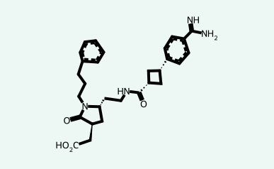 N=C(N)c1ccc([C@H]2C[C@@H](C(=O)NCC[C@@H]3C[C@@H](CC(=O)O)C(=O)N3CCCc3ccccc3)C2)cc1